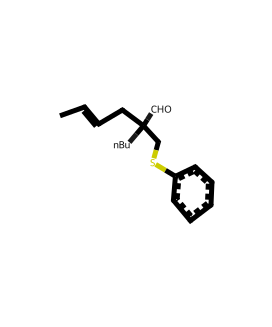 CC=CCC(C=O)(CCCC)CSc1ccccc1